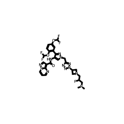 CN(C)CC(F)CN1CC(n2nnc(Cn3cc(NC(=O)c4cnn5cccnc45)c(-c4cc(OC(F)F)ccc4OC(F)F)n3)n2)C1